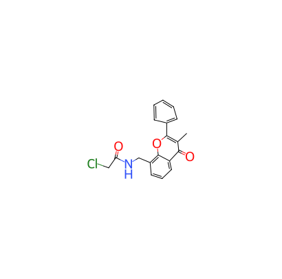 Cc1c(-c2ccccc2)oc2c(CNC(=O)CCl)cccc2c1=O